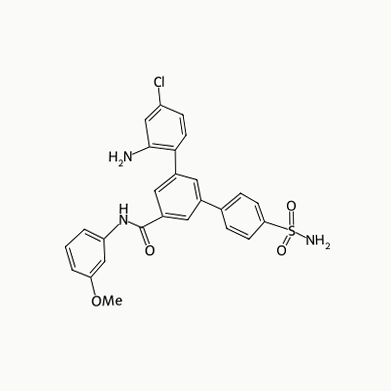 COc1cccc(NC(=O)c2cc(-c3ccc(S(N)(=O)=O)cc3)cc(-c3ccc(Cl)cc3N)c2)c1